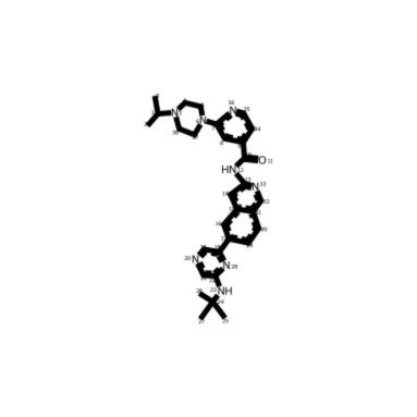 CC(C)N1CCN(c2cc(C(=O)Nc3cc4cc(-c5cncc(NC(C)(C)C)n5)ccc4cn3)ccn2)CC1